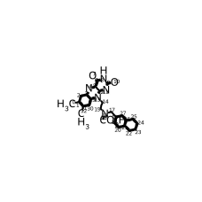 Cc1cc2nc3c(=O)[nH]c(=O)nc-3n(CCN(Cc3ccc4ccccc4c3)C(=O)O)c2cc1C